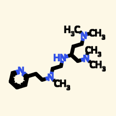 CN(C)CCC(CN(C)C)NCCN(C)CCc1ccccn1